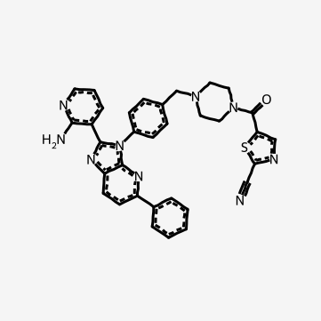 N#Cc1ncc(C(=O)N2CCN(Cc3ccc(-n4c(-c5cccnc5N)nc5ccc(-c6ccccc6)nc54)cc3)CC2)s1